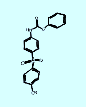 N#Cc1ccc(S(=O)(=O)c2ccc(NC(=O)Oc3ccccc3)cc2)cc1